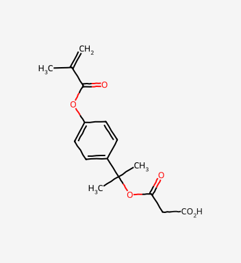 C=C(C)C(=O)Oc1ccc(C(C)(C)OC(=O)CC(=O)O)cc1